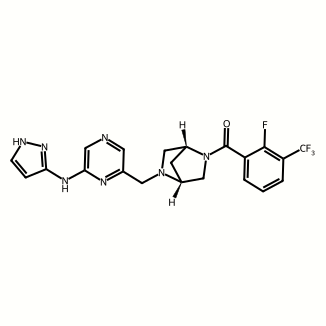 O=C(c1cccc(C(F)(F)F)c1F)N1C[C@H]2C[C@@H]1CN2Cc1cncc(Nc2cc[nH]n2)n1